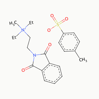 CC[N+](C)(CC)CCN1C(=O)c2ccccc2C1=O.Cc1ccc(S(=O)(=O)[O-])cc1